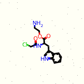 NCCOC(=O)C(Cc1c[nH]c2ccccc12)NC(=O)CCl